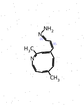 Cc1cccnc(C)cc(/C=C\C=N/N)cc1